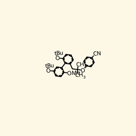 COc1ccc(OC(C)(C)C)cc1-c1c(CC(C)(C)Oc2ccc(C#N)cc2)cccc1OC(C)(C)C